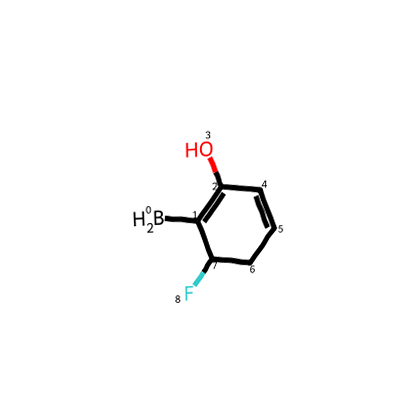 BC1=C(O)C=CCC1F